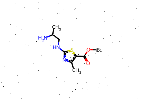 CCC(C)OC(=O)c1sc(NCC(C)N)nc1C